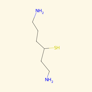 NCCCC(S)CCN